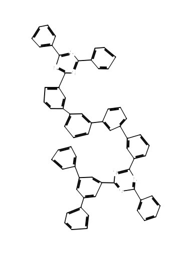 c1ccc(-c2cc(-c3ccccc3)cc(-c3nc(-c4ccccc4)nc(-c4cccc(-c5cccc(-c6cccc(-c7cccc(-c8nc(-c9ccccc9)nc(-c9ccccc9)n8)c7)c6)c5)c4)n3)c2)cc1